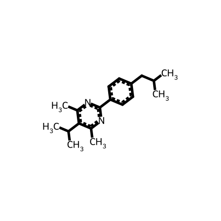 Cc1nc(-c2ccc(CC(C)C)cc2)nc(C)c1C(C)C